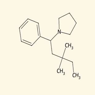 CCC(C)(C)CC(c1ccccc1)N1CCCC1